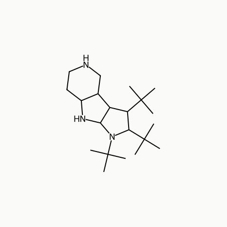 CC(C)(C)C1C2C3CNCCC3NC2N(C(C)(C)C)C1C(C)(C)C